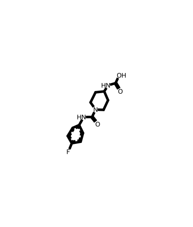 O=C(O)NC1CCN(C(=O)Nc2ccc(F)cc2)CC1